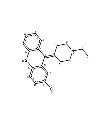 CCN1CCC(=C2c3ccccc3Sc3ccc(Cl)cc32)CC1